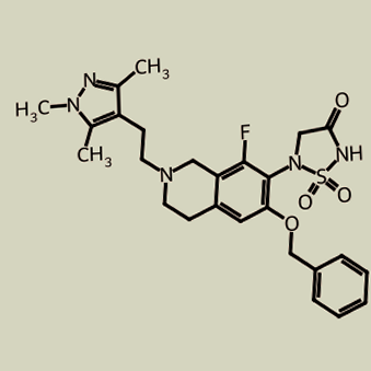 Cc1nn(C)c(C)c1CCN1CCc2cc(OCc3ccccc3)c(N3CC(=O)NS3(=O)=O)c(F)c2C1